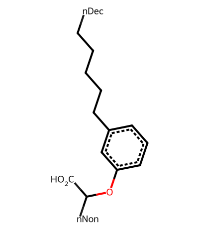 CCCCCCCCCCCCCCCc1cccc(OC(CCCCCCCCC)C(=O)O)c1